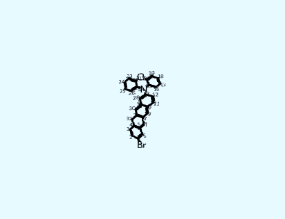 Brc1ccc2c(c1)Cc1cc3ccc(N4c5ccccc5Oc5ccccc54)cc3cc1C2